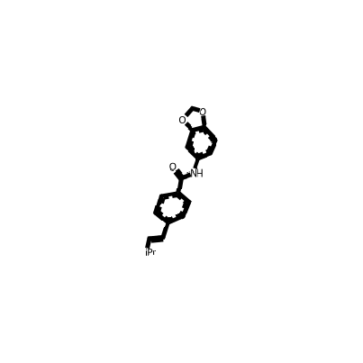 CC(C)/C=C/c1ccc(C(=O)Nc2ccc3c(c2)OCO3)cc1